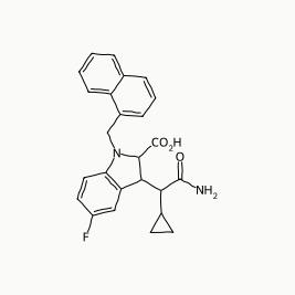 NC(=O)C(C1CC1)C1c2cc(F)ccc2N(Cc2cccc3ccccc23)C1C(=O)O